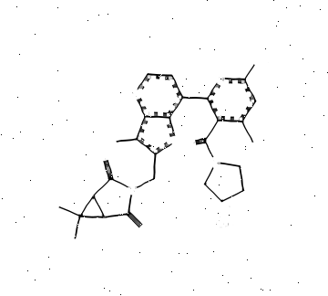 CN[C@H]1CCN(C(=O)c2c(C)cc(C(F)(F)F)nc2-c2ccnc3c(F)c(CN4C(=O)C5C(C4=O)C5(C)C)sc23)C1